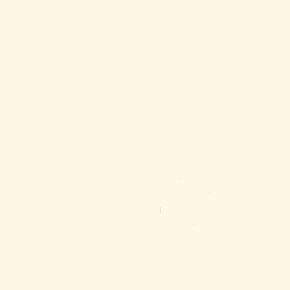 COCOc1cc(OC(F)(F)F)cc(C)c1I